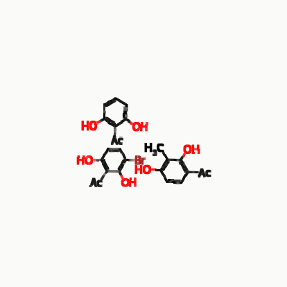 CC(=O)c1c(O)ccc(Br)c1O.CC(=O)c1c(O)cccc1O.CC(=O)c1ccc(O)c(C)c1O